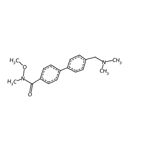 CON(C)C(=O)c1ccc(-c2ccc(CN(C)C)cc2)cc1